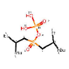 CCCCC(CC)CP(=O)(CC(CC)CCCC)OP(=O)(O)O